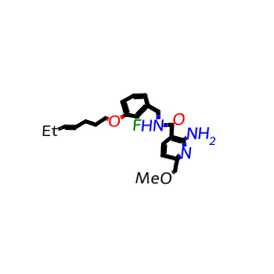 CC/C=C/CCCOc1cccc(CNC(=O)c2ccc(COC)nc2N)c1F